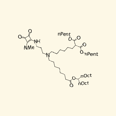 CCCCCCCCC(CCCCCCCC)OC(=O)CCCCCCCN(CCCCCCC(C(=O)OCCCCC)C(=O)OCCCCC)CCCNc1c(NC)c(=O)c1=O